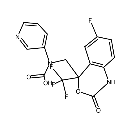 O=C1Nc2ccc(F)cc2C(CN(C(=O)O)c2cccnc2)(C(F)(F)F)O1